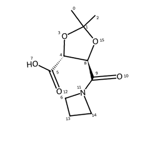 CC1(C)O[C@@H](C(=O)O)[C@H](C(=O)N2CCC2)O1